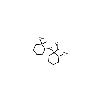 CC1(O)CCCCC1OC1(N=O)CCCCC1O